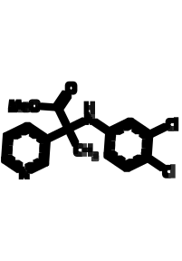 COC(=O)C(C)(Nc1ccc(Cl)c(Cl)c1)c1cccnc1